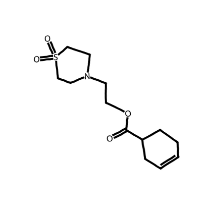 O=C(OCCN1CCS(=O)(=O)CC1)C1CC=CCC1